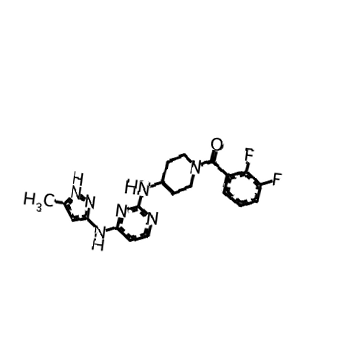 Cc1cc(Nc2ccnc(NC3CCN(C(=O)c4cccc(F)c4F)CC3)n2)n[nH]1